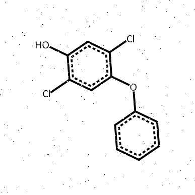 Oc1cc(Cl)c(Oc2ccccc2)cc1Cl